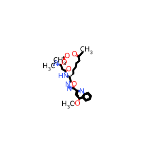 CCC(=O)CCCCC[C@H](NC(=O)CC(OC=O)N(C)C)c1nnc(-c2cc(OC)c3ccccc3n2)o1